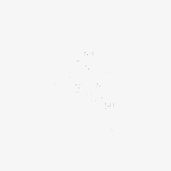 CC(C)(C)OC(=O)N[C@H]1CN(C(=O)NC2CC2)CC[C@H]2CC[C@@H](C(=O)N[C@@H]3CCOc4ccccc43)N2C1=O